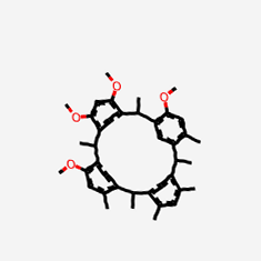 COc1cc(C)c2cc1C(C)c1cc(c(OC)cc1OC)C(C)c1cc(c(C)cc1OC)C(C)c1cc(c(C)cc1C)C2C